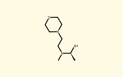 C[C@H](S)N(C)CCN1CCOCC1